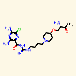 CC(=O)[C@@H](N)COC1CCN(CCCCNC(=N)NC(=O)c2nc(Cl)c(N)nc2N)CC1